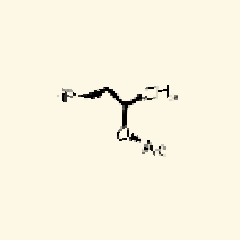 C[C](C)CC(C)OC(C)=O